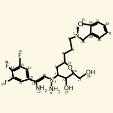 CN(CCCC1CC(N(N)/C=C(\N)c2cc(F)c(F)c(F)c2)C(O)C(CO)O1)Cc1ccccc1Cl